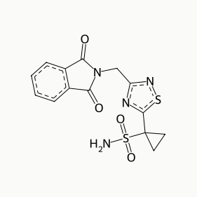 NS(=O)(=O)C1(c2nc(CN3C(=O)c4ccccc4C3=O)ns2)CC1